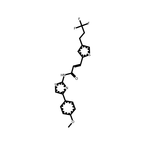 COc1ccc(-c2csc(NC(=O)C=Cc3cc(CCC(F)(F)F)cs3)n2)cc1